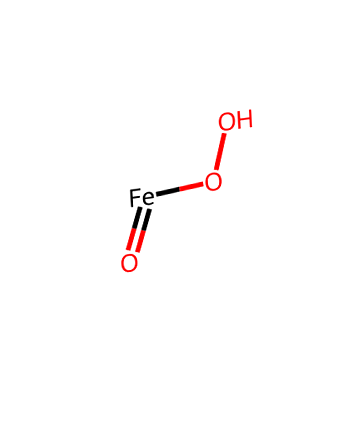 [O]=[Fe][O]O